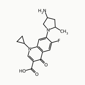 CC1CC(N)CN1c1cc2c(cc1F)c(=O)c(C(=O)O)cn2C1CC1